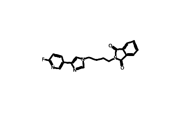 O=C1c2ccccc2C(=O)N1CCCCn1cnc(-c2ccc(F)nc2)c1